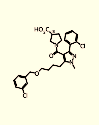 Cn1nc(-c2ccccc2Cl)c(C(=O)N2CC[C@H](C(=O)O)C2)c1CCCCOCc1cccc(Cl)c1